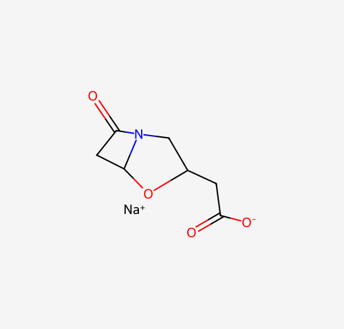 O=C([O-])CC1CN2C(=O)CC2O1.[Na+]